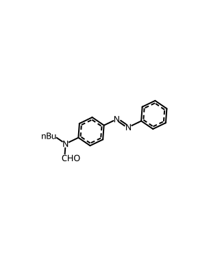 CCCCN(C=O)c1ccc(/N=N/c2ccccc2)cc1